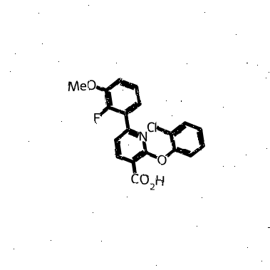 COc1cccc(-c2ccc(C(=O)O)c(Oc3ccccc3Cl)n2)c1F